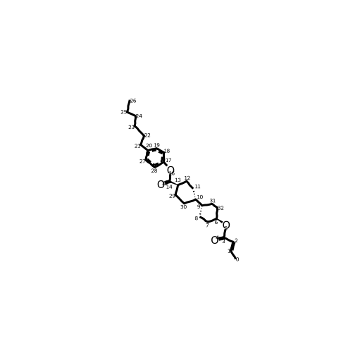 C/C=C/C(=O)O[C@H]1CC[C@H]([C@H]2CC[C@H](C(=O)Oc3ccc(CCCCCC)cc3)CC2)CC1